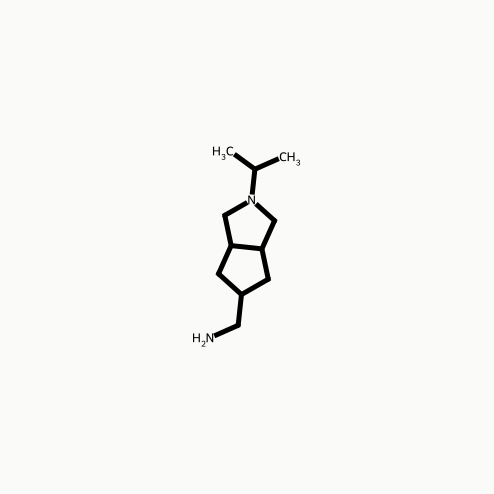 CC(C)N1CC2CC(CN)CC2C1